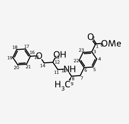 COC(=O)c1ccc(C[C@@H](C)NCC(O)COc2ccccc2)cc1